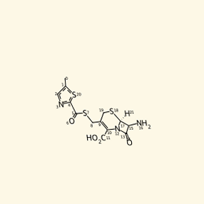 Cc1cnc(C(=O)SCC2=C(C(=O)O)N3C(=O)C(N)[C@@H]3SC2)s1